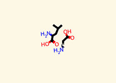 CC(C)CC(N)C(=O)O.NCCC(=O)O